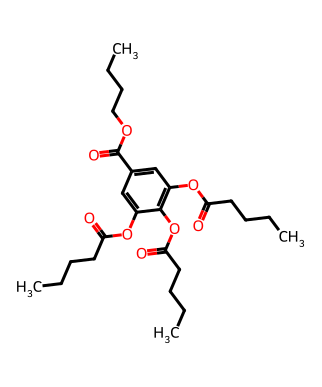 CCCCOC(=O)c1cc(OC(=O)CCCC)c(OC(=O)CCCC)c(OC(=O)CCCC)c1